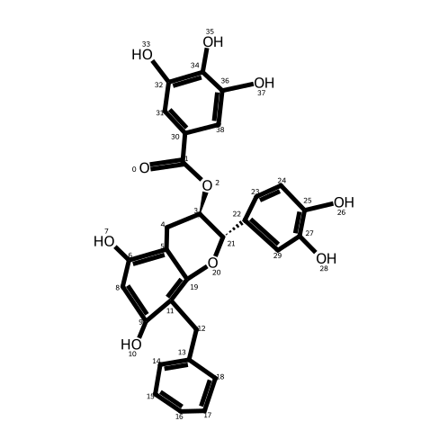 O=C(O[C@@H]1Cc2c(O)cc(O)c(Cc3ccccc3)c2O[C@H]1c1ccc(O)c(O)c1)c1cc(O)c(O)c(O)c1